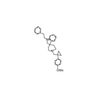 COc1ccc(C2(CN3CCC(CNCCc4ccccc4)(c4ccccc4)CC3)CC2)cc1